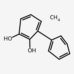 C.Oc1cccc(-c2ccccc2)c1O